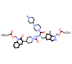 CCCCCCCCCC(=O)OCn1c(=O)c(C2CCN(C(=O)N[C@H](Cc3cc(C)c4c(cnn4COC(=O)CCCCCCCC)c3)C(=O)N3CCN(C4CCN(C)CC4)CC3)CC2)cc2ccccc21